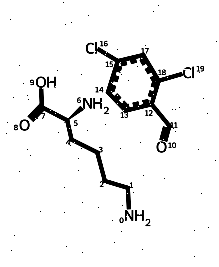 NCCCC[C@H](N)C(=O)O.O=Cc1ccc(Cl)cc1Cl